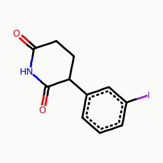 O=C1CCC(c2cccc(I)c2)C(=O)N1